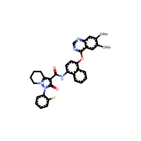 COc1cc2ncnc(Oc3ccc(NC(=O)c4c5n(n(-c6ccccc6F)c4=O)CCCC5)c4ccccc34)c2cc1OC